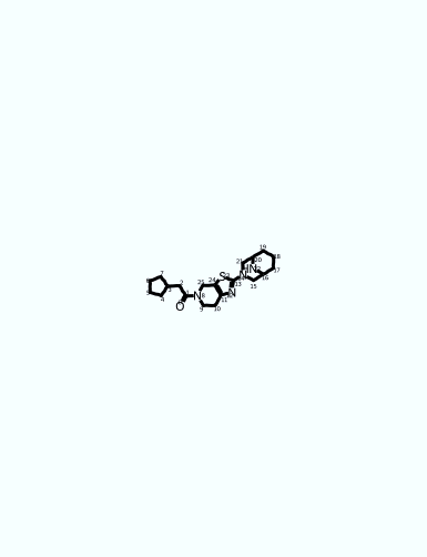 O=C(CC1CCCC1)N1CCc2nc(N3CC4CCCC(C3)N4)sc2C1